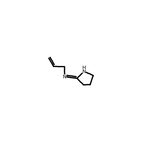 C=CCN=C1CCCN1